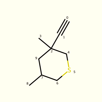 C#CC1(C)CSCC(C)C1